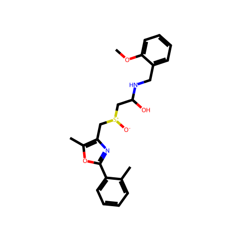 COc1ccccc1CNC(O)C[S+]([O-])Cc1nc(-c2ccccc2C)oc1C